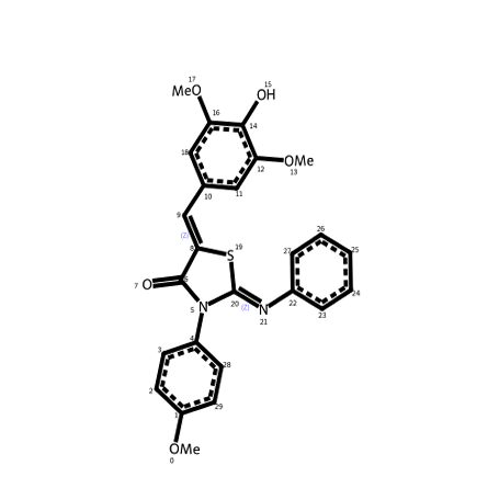 COc1ccc(N2C(=O)/C(=C/c3cc(OC)c(O)c(OC)c3)S/C2=N\c2ccccc2)cc1